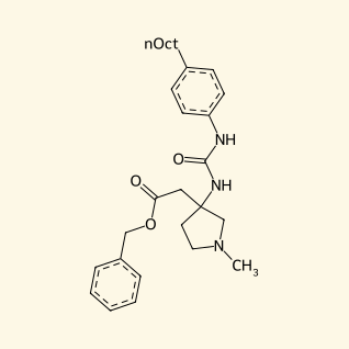 CCCCCCCCc1ccc(NC(=O)NC2(CC(=O)OCc3ccccc3)CCN(C)C2)cc1